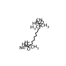 CC(C)(CCCCCCCCCC(C)(C)C(=O)NC#N)C(=O)NC#N